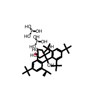 CC(C)(C)c1cc(C(C)(C)C)c(C(O)(c2c(C(C)(C)C)cc(C(C)(C)C)cc2C(C)(C)C)C(CO)(CO)CO)c(C(C)(C)C)c1.OP(O)O.OP(O)O